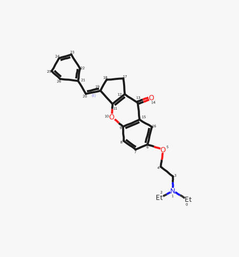 CCN(CC)CCOc1ccc2oc3c(c(=O)c2c1)CC/C3=C\c1ccccc1